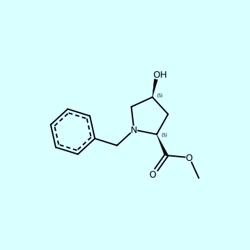 COC(=O)[C@@H]1C[C@H](O)CN1Cc1ccccc1